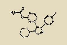 NC(=O)Oc1nccc(-c2c(-c3ccc(F)cc3)ncn2C2CCCCC2)n1